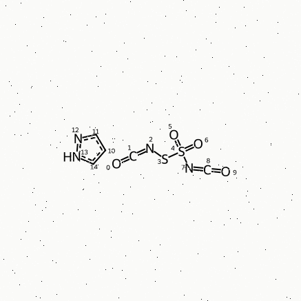 O=C=NSS(=O)(=O)N=C=O.c1cn[nH]c1